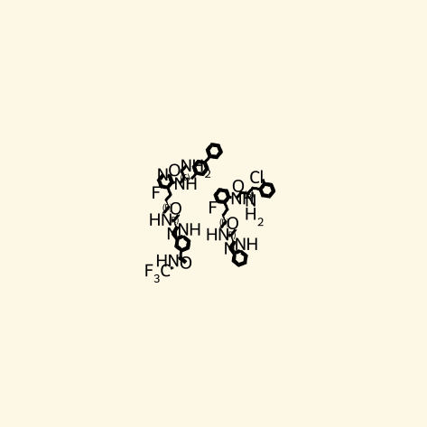 NC(=O)[C@H](Cc1ccc(-c2ccccc2)cc1)Nc1cncc(F)c1CC[C@@H]1CN[C@H](c2nc3cc(C(=O)NCC(F)(F)F)ccc3[nH]2)CO1.N[C@@H](Cc1ccccc1Cl)C(=O)Nc1cccc(F)c1CC[C@@H]1CN[C@H](c2nc3ccccc3[nH]2)CO1